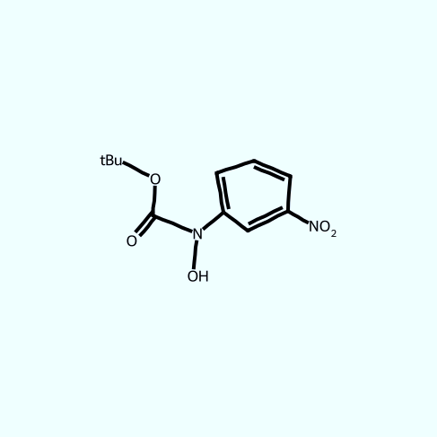 CC(C)(C)OC(=O)N(O)c1cccc([N+](=O)[O-])c1